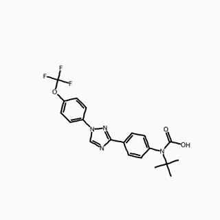 CC(C)(C)N(C(=O)O)c1ccc(-c2ncn(-c3ccc(OC(F)(F)F)cc3)n2)cc1